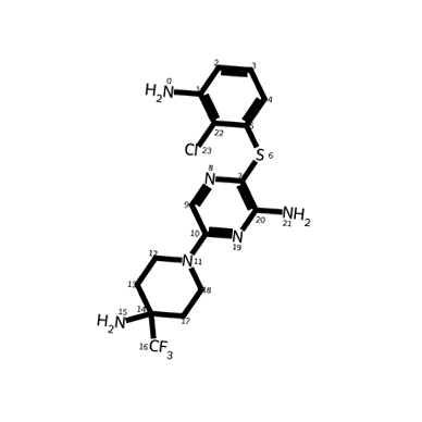 Nc1cccc(Sc2ncc(N3CCC(N)(C(F)(F)F)CC3)nc2N)c1Cl